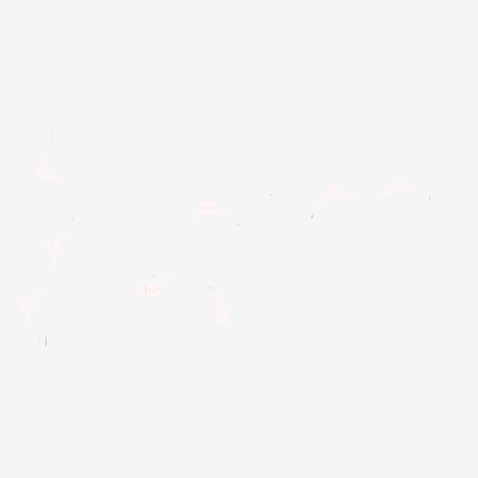 COCOc1ccc2c(c1)OC(c1ccc(OC)c(OCOC)c1)C(O)C2=O